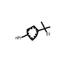 C[CH]Cc1ccc(C(C)(C)CC)cc1